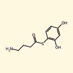 NCCCC(=O)Sc1ccc(O)cc1O